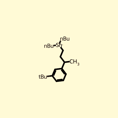 CCC[CH2][Sn]([CH2]CCC)[CH2]CC(C)c1cccc(C(C)(C)C)c1